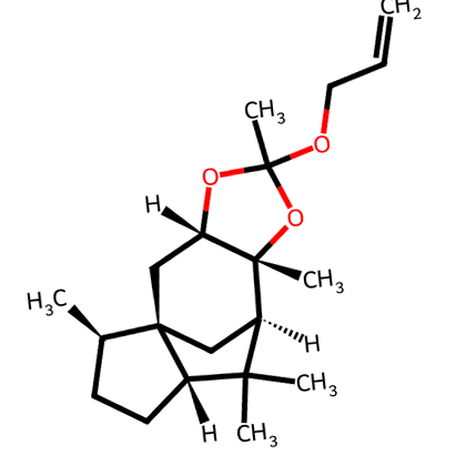 C=CCOC1(C)O[C@H]2C[C@@]34C[C@H](C(C)(C)[C@@H]3CC[C@H]4C)[C@@]2(C)O1